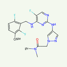 COc1ccc(F)c(CNc2nc(Nc3cnn(CC(=O)N(C)C(C)C)c3)ncc2F)c1F